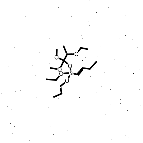 CCC=C[Si](OCC)(OCCC)OC(OC)(OC)C(C)OCC